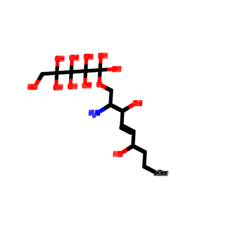 CCCCCCCCCCCCC(O)C=CC(O)C(N)COC(O)(O)C(O)(O)C(O)(O)C(O)(O)CO